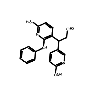 COc1ccc(C(CC=O)c2ccc(C)nc2Nc2ccccc2)cn1